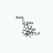 COCCCOc1cc2c(cc1OC)-c1c(F)c(=O)c(C(=O)O)cn1C1C2CCCC1(C)C